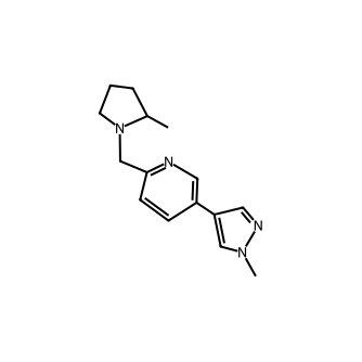 CC1CCCN1Cc1ccc(-c2cnn(C)c2)cn1